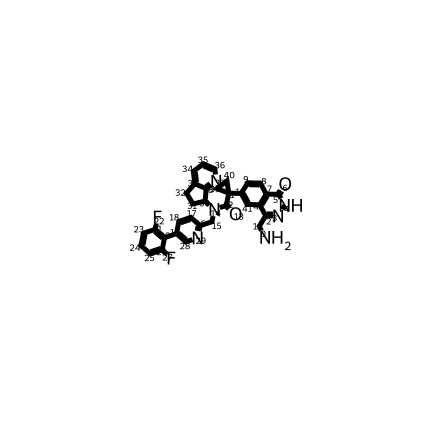 NCc1n[nH]c(=O)c2ccc(C3(C(=O)N(Cc4ccc(-c5c(F)cccc5F)cn4)C4CCc5cccnc54)CC3)cc12